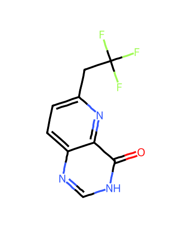 O=c1[nH]cnc2ccc(CC(F)(F)F)nc12